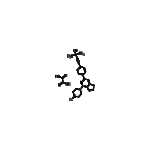 CCN1CCN(c2nc(-c3ccc(C#CC(C)(C)O)cc3)cc3sccc23)CC1.O=C(O)C(=O)O